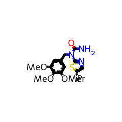 COc1cc(CN(C(N)=O)c2ncc(C(C)C)s2)cc(OC)c1OC